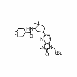 Cn1c(=O)n(CC(C)(C)C)c2ccc(C3CCC(C)(C)C(NC(=O)C4CCOCC4)C3)nc21